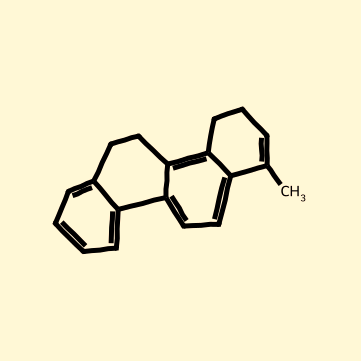 CC1=CCCc2c1ccc1c2CCc2ccccc2-1